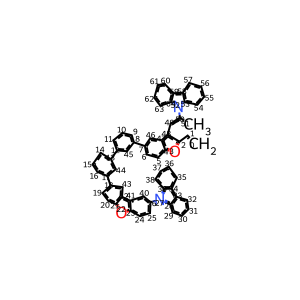 C=Cc1oc2ccc(-c3cccc(-c4cccc(-c5ccc6oc7ccc(-n8c9ccccc9c9ccccc98)cc7c6c5)c4)c3)cc2c1/C=C(\C)n1c2ccccc2c2ccccc21